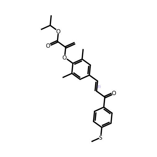 C=C(Oc1c(C)cc(/C=C/C(=O)c2ccc(SC)cc2)cc1C)C(=O)OC(C)C